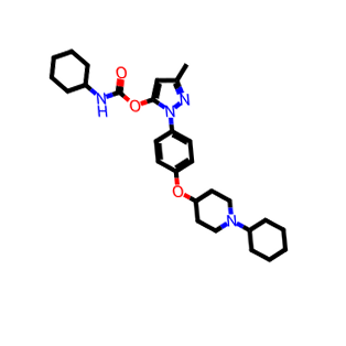 Cc1cc(OC(=O)NC2CCCCC2)n(-c2ccc(OC3CCN(C4CCCCC4)CC3)cc2)n1